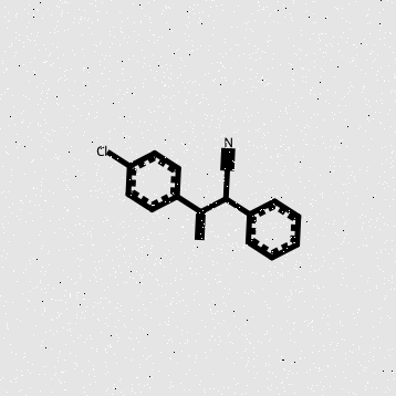 C=C(c1ccc(Cl)cc1)C(C#N)c1ccccc1